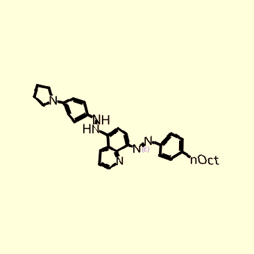 CCCCCCCCc1ccc(/N=N/c2ccc(NNc3ccc(N4CCCC4)cc3)c3cccnc23)cc1